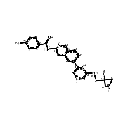 O=C(Nc1cc2cc(-c3cncc(NCC4(F)CNC4)n3)ccc2cn1)c1ccc(F)cc1